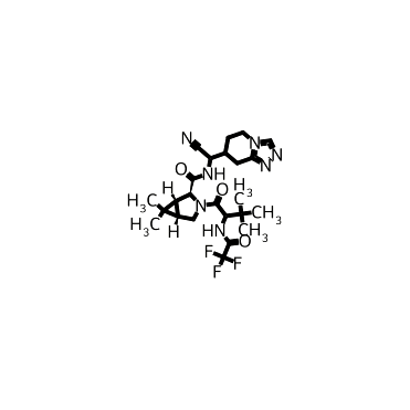 CC(C)(C)C(NC(=O)C(F)(F)F)C(=O)N1C[C@H]2[C@@H]([C@H]1C(=O)NC(C#N)C1CCn3cnnc3C1)C2(C)C